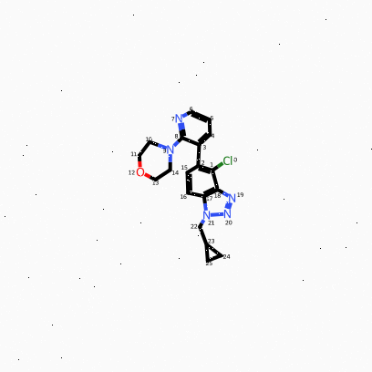 Clc1c(-c2cccnc2N2CCOCC2)ccc2c1nnn2CC1CC1